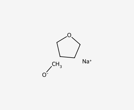 C1CCOC1.C[O-].[Na+]